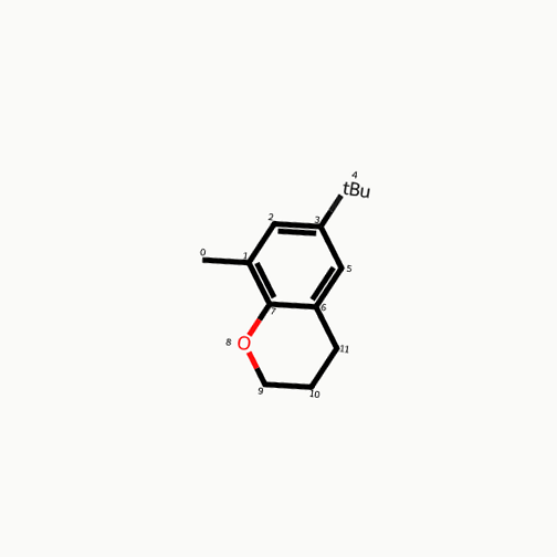 Cc1cc(C(C)(C)C)cc2c1OCCC2